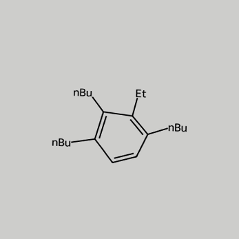 [CH2]Cc1c(CCCC)ccc(CCCC)c1CCCC